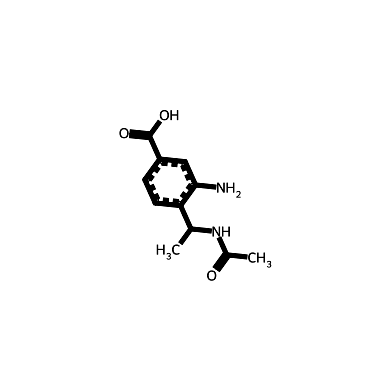 CC(=O)NC(C)c1ccc(C(=O)O)cc1N